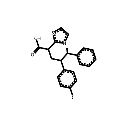 CC(c1ccccc1)C(CC(C(=O)O)c1nccs1)c1ccc(Cl)cc1